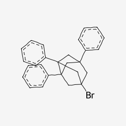 BrC12CC3(c4ccccc4)CC(c4ccccc4)(C1)C(c1ccccc1)(C2)C3